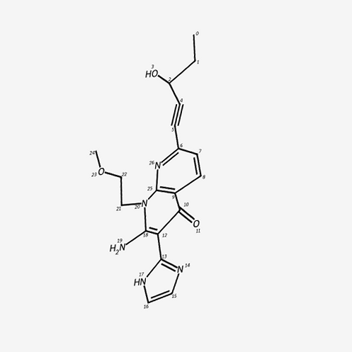 CCC(O)C#Cc1ccc2c(=O)c(-c3ncc[nH]3)c(N)n(CCOC)c2n1